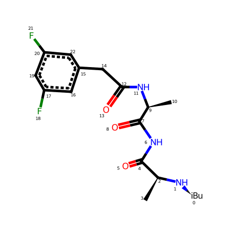 CC[C@H](C)N[C@@H](C)C(=O)NC(=O)[C@H](C)NC(=O)Cc1cc(F)cc(F)c1